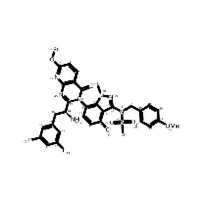 CCOc1ccc2c(=O)n(-c3ccc(Cl)c4c(N(Cc5ccc(OC)cc5)S(C)(=O)=O)nn(C)c34)c([C@@H](N)Cc3cc(F)cc(F)c3)nc2n1